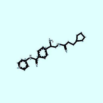 NC(CNC(=O)CCC1CCCC1)c1ccc(C(=O)Nc2ccncc2)cc1